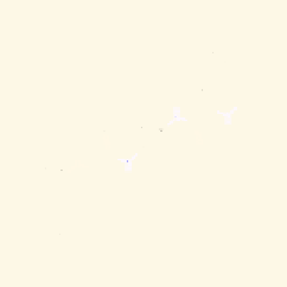 CC1CC(C)NC(C(=O)NC23CC(NC(=O)COc4ccc(Cl)c(F)c4)(C2)C3)C1